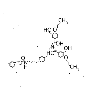 CCCCOc1ccc([C@@H](O)CN(CCCCc2ccc(CCCCNC(=O)OCc3ccccc3)cc2)C[C@H](O)c2ccc(OCCCC)c(CO)c2)cc1CO